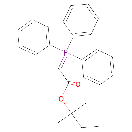 CCC(C)(C)OC(=O)C=P(c1ccccc1)(c1ccccc1)c1ccccc1